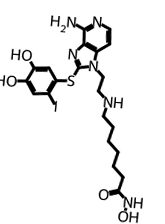 Nc1nccc2c1nc(Sc1cc(O)c(O)cc1I)n2CCNCCCCCCC(=O)NO